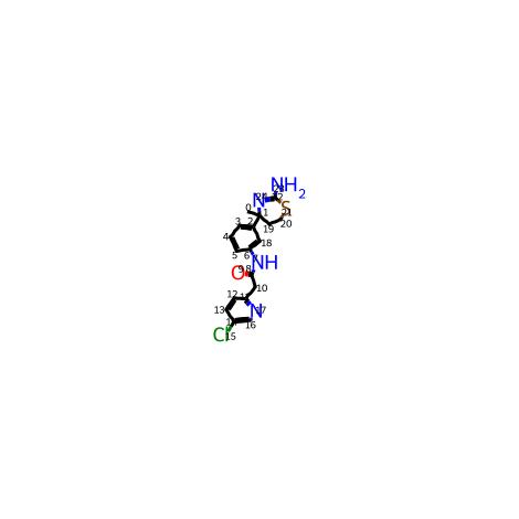 CC1(c2cccc(NC(=O)Cc3ccc(Cl)cn3)c2)CCSC(N)=N1